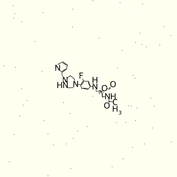 CC(=O)NC[C@@H](CNc1ccc(N2CCNN(Cc3ccccn3)CC2)c(F)c1)OC=O